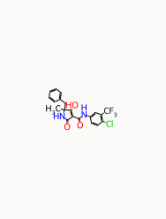 CC1(Cc2ccccc2)NC(=O)C(C(=O)Nc2ccc(Cl)c(C(F)(F)F)c2)=C1O